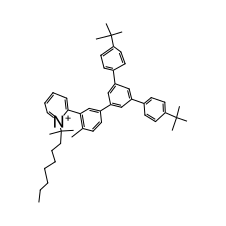 CCCCCCCC(C)(C)[n+]1ccccc1-c1cc(-c2cc(-c3ccc(C(C)(C)C)cc3)cc(-c3ccc(C(C)(C)C)cc3)c2)ccc1C